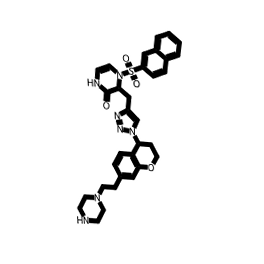 O=C1NC=CN(S(=O)(=O)c2ccc3ccccc3c2)C1Cc1cn(C2CCOc3cc(CCN4CCNCC4)ccc32)nn1